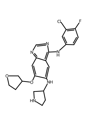 Fc1ccc(Nc2ncnc3cc(OC4CCOC4)c(NC4CCNC4)cc23)cc1Cl